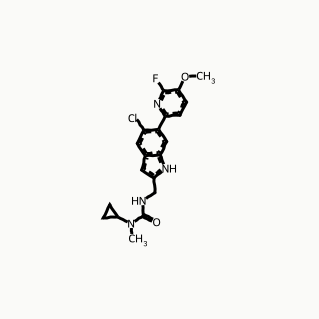 COc1ccc(-c2cc3[nH]c(CNC(=O)N(C)C4CC4)cc3cc2Cl)nc1F